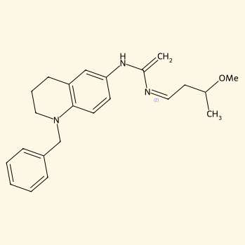 C=C(/N=C\CC(C)OC)Nc1ccc2c(c1)CCCN2Cc1ccccc1